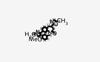 COc1ccc(CN2C(=O)CC(c3ncc(C)o3)=Cc3ccc(-c4ccn(C)n4)cc32)cc1